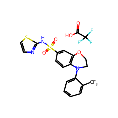 O=C(O)C(F)(F)F.O=S(=O)(Nc1nccs1)c1ccc2c(c1)OCCN2c1ccccc1C(F)(F)F